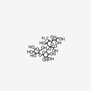 C[C@H]1C([C@H](O)[C@H](O)CO)O[C@@](OCC2O[C@@H](O[C@@H]3C(CO)OC(O)C(O)[C@H]3O)C(O)[C@@H](O)[C@H]2O)(C(=O)O)C[C@H]1O